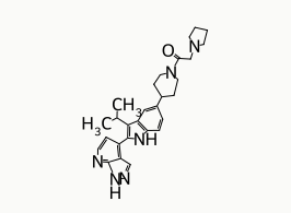 CC(C)c1c(-c2ccnc3[nH]ncc23)[nH]c2ccc(C3CCN(C(=O)CN4CCCC4)CC3)cc12